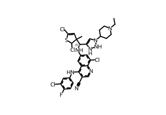 CCN1CCC(N2C=C([C@@H](Nc3cc(Cl)c4ncc(C#N)c(Nc5ccc(F)c(Cl)c5)c4c3)C3(C)C=C(Cl)SC3Cl)NN2)CC1